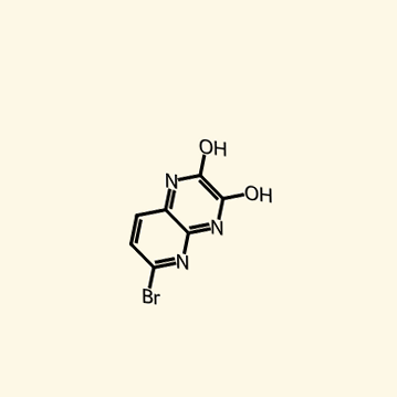 Oc1nc2ccc(Br)nc2nc1O